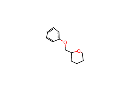 [c]1ccc(OCC2CCCCO2)cc1